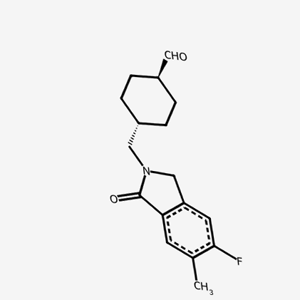 Cc1cc2c(cc1F)CN(C[C@H]1CC[C@H](C=O)CC1)C2=O